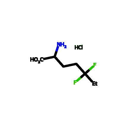 CCC(F)(F)CCC(N)C(=O)O.Cl